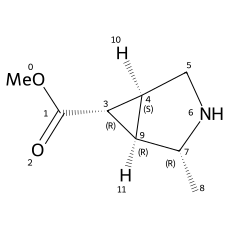 COC(=O)[C@@H]1[C@H]2CN[C@H](C)[C@H]21